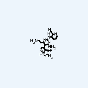 CNn1ncc(-c2c(N)nc(Nc3cccnc3C#N)nc2CCN)c1C(F)(F)F